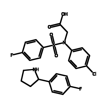 Fc1ccc(C2CCCN2)cc1.O=C(O)CN(c1ccc(Cl)cc1)S(=O)(=O)c1ccc(F)cc1